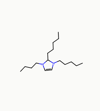 CCCCCC1N(CCCC)C=CN1CCCCC